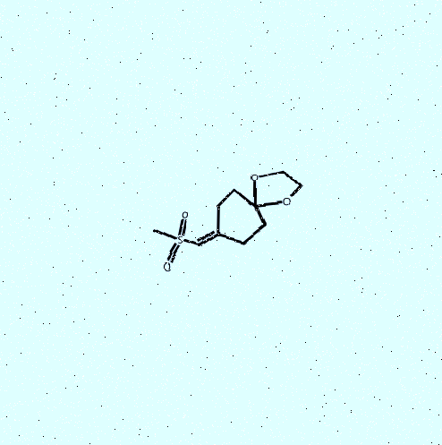 CS(=O)(=O)C=C1CCC2(CC1)OCCO2